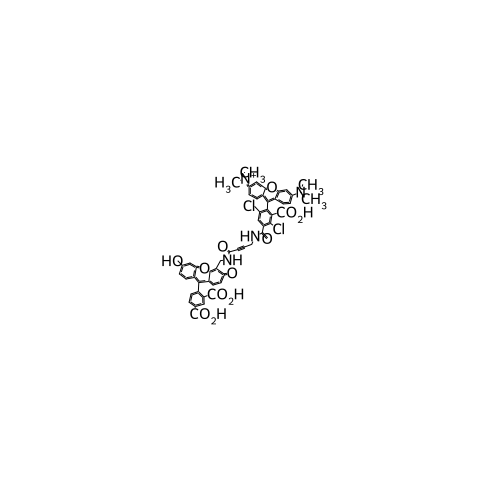 CN(C)c1ccc2c(-c3c(Cl)cc(C(=O)NCC#CC(=O)NCc4c5oc6cc(O)ccc6c(-c6ccc(C(=O)O)cc6C(=O)O)c-5ccc4=O)c(Cl)c3C(=O)O)c3ccc(=[N+](C)C)cc-3oc2c1